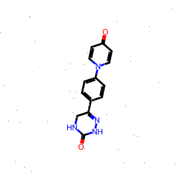 O=C1NCC(c2ccc(-n3ccc(=O)cc3)cc2)=NN1